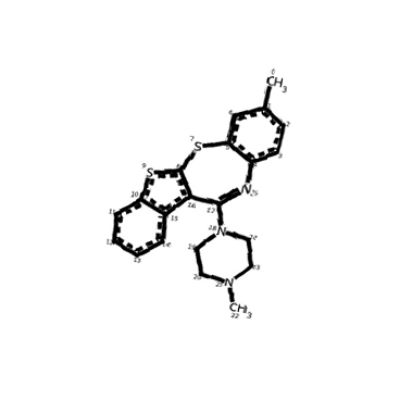 Cc1ccc2c(c1)Sc1sc3ccccc3c1C(N1CCN(C)CC1)=N2